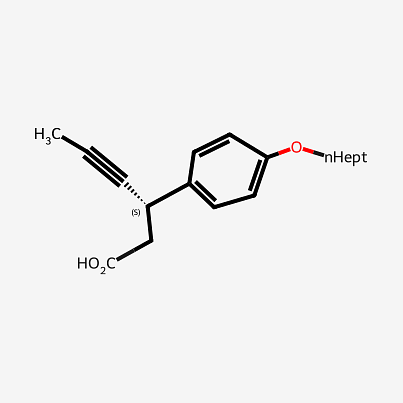 CC#C[C@@H](CC(=O)O)c1ccc(OCCCCCCC)cc1